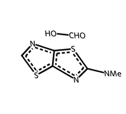 CNc1nc2scnc2s1.O=CO